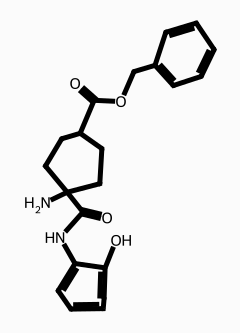 NC1(C(=O)Nc2ccccc2O)CCC(C(=O)OCc2ccccc2)CC1